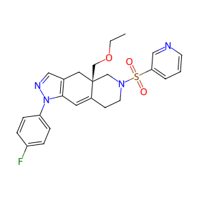 CCOC[C@]12Cc3cnn(-c4ccc(F)cc4)c3C=C1CCN(S(=O)(=O)c1cccnc1)C2